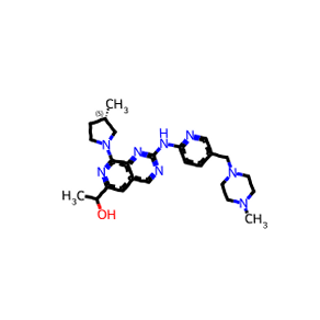 CC(O)c1cc2cnc(Nc3ccc(CN4CCN(C)CC4)cn3)nc2c(N2CC[C@H](C)C2)n1